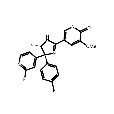 COc1cc(C2=N[C@](c3ccc(F)cc3)(c3ccnc(F)c3)[C@H](C)N2)c[nH]c1=O